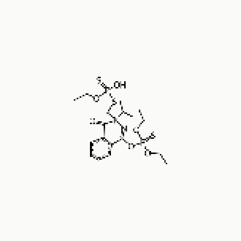 CCOP(=S)(OCC)OC1=N[N+](CSP(O)(=S)OCC)(C(C)C)C(=O)c2ccccc21